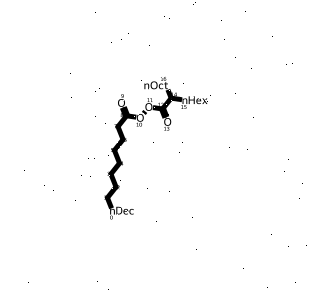 CCCCCCCCCCCCCCCCCC(=O)OOC(=O)C(CCCCCC)CCCCCCCC